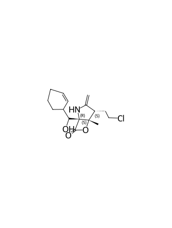 C=C1N[C@@]2(C(O)C3C=CCCC3)C(=O)O[C@@]2(C)[C@H]1CCCl